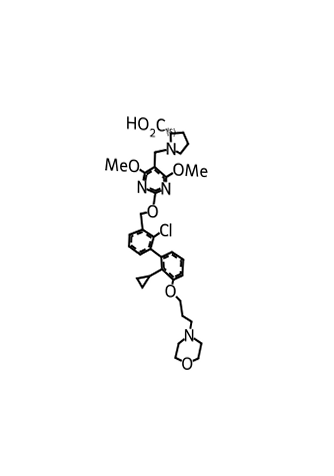 COc1nc(OCc2cccc(-c3cccc(OCCCN4CCOCC4)c3C3CC3)c2Cl)nc(OC)c1CN1CCC[C@H]1C(=O)O